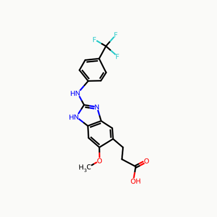 COc1cc2[nH]c(Nc3ccc(C(F)(F)F)cc3)nc2cc1CCC(=O)O